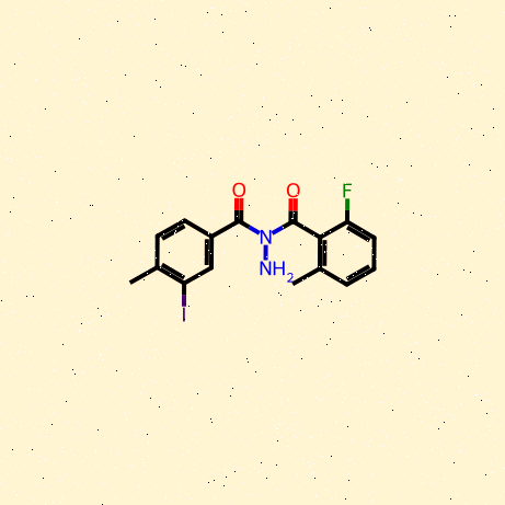 Cc1ccc(C(=O)N(N)C(=O)c2c(C)cccc2F)cc1I